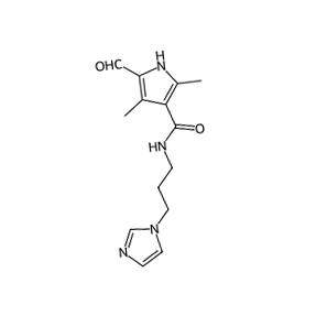 Cc1[nH]c(C=O)c(C)c1C(=O)NCCCn1ccnc1